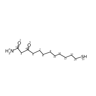 NC(=O)CC(=O)CCCCCCCCCS